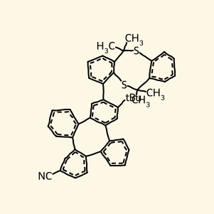 CC(C)(C)c1cc2c(cc1-c1cccc3c1SC(C)(C)c1ccccc1SC3(C)C)-c1ccccc1-c1cc(C#N)ccc1-c1ccccc1-2